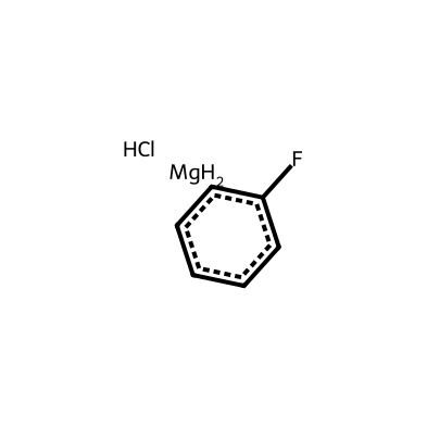 Cl.Fc1ccccc1.[MgH2]